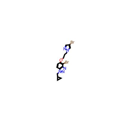 Brc1cnn(CCCOc2ccc3c(nnn3CC3CC3)c2Br)c1